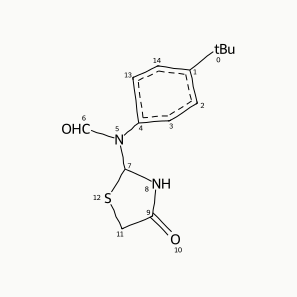 CC(C)(C)c1ccc(N(C=O)C2NC(=O)CS2)cc1